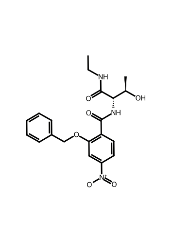 CCNC(=O)[C@@H](NC(=O)c1ccc([N+](=O)[O-])cc1OCc1ccccc1)[C@@H](C)O